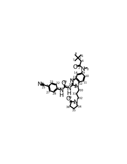 CN(C(=O)CC(C)(C)C)c1ccc2c(c1)nc(NC(=O)Nc1ccc(C#N)cc1)n2CCCN1CCCC1=O